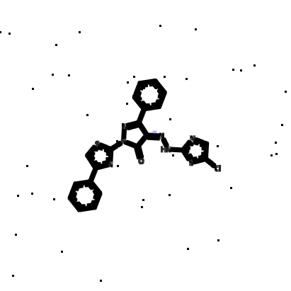 O=C1/C(=N\Nc2ncc(Cl)s2)C(c2ccccc2)=NN1c1nc(-c2ccccc2)cs1